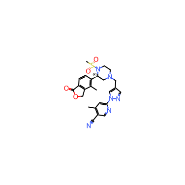 Cc1cc(-n2cc(CN3CCN(S(C)(=O)=O)[C@H](c4ccc5c(c4C)COC5=O)C3)cn2)ncc1C#N